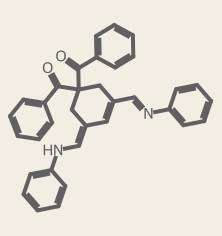 O=C(c1ccccc1)C1(C(=O)c2ccccc2)CC(/C=N/c2ccccc2)=CC(=C/Nc2ccccc2)/C1